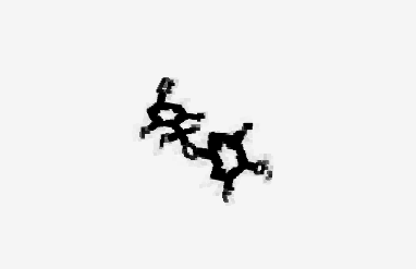 CCc1cc(F)c(C(F)(F)Oc2cc(F)c(C(F)(F)F)c(F)c2)c(F)c1